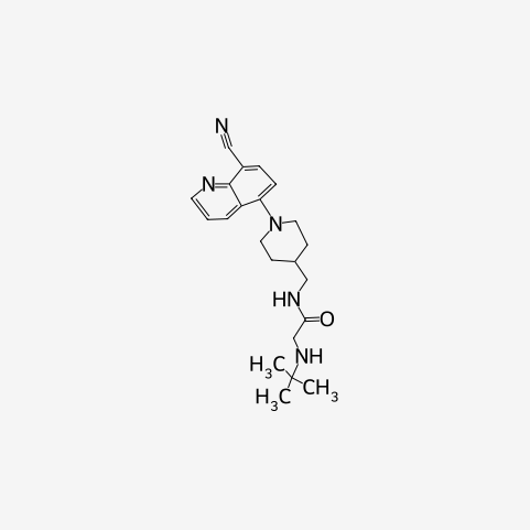 CC(C)(C)NCC(=O)NCC1CCN(c2ccc(C#N)c3ncccc23)CC1